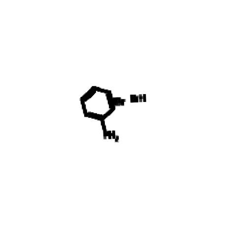 Br.Br.Pc1ccccc1